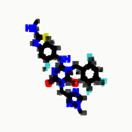 CNc1nc2cc(F)c(Nc3nc(=O)n(Cc4ncn(C)n4)c(=O)n3Cc3cc(F)c(F)cc3F)cc2s1